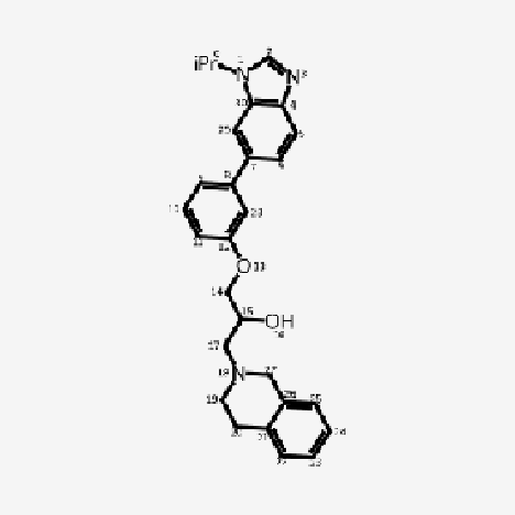 CC(C)n1cnc2ccc(-c3cccc(OCC(O)CN4CCc5ccccc5C4)c3)cc21